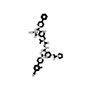 Cc1cc(C#N)ccc1C1CCN(C(=O)[C@H]2NC[C@@H](CC(=O)N3CCCC3)C[C@@H]2C(=O)NOC(=O)N(CC2CN[C@H](C(=O)N3CCC(c4ccccc4)CC3)[C@@H](C(=O)NO)C2)C(C)C)CC1